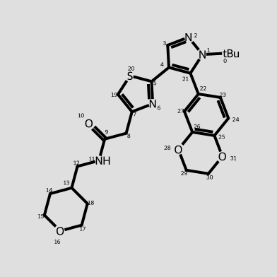 CC(C)(C)n1ncc(-c2nc(CC(=O)NCC3CCOCC3)cs2)c1-c1ccc2c(c1)OCCO2